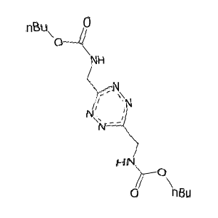 CCCCOC(=O)NCc1nnc(CNC(=O)OCCCC)nn1